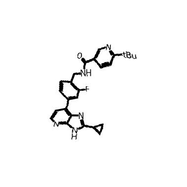 CC(C)(C)c1ccc(C(=O)NCc2ccc(-c3ccnc4[nH]c(C5CC5)nc34)cc2F)cn1